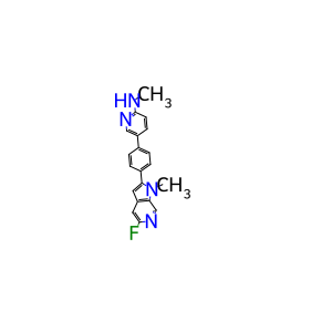 CNc1ccc(-c2ccc(-c3cc4cc(F)ncc4n3C)cc2)cn1